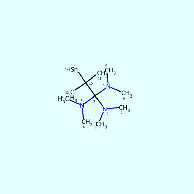 CN(C)C(N(C)C)(N(C)C)[C](C)(C)[SnH]